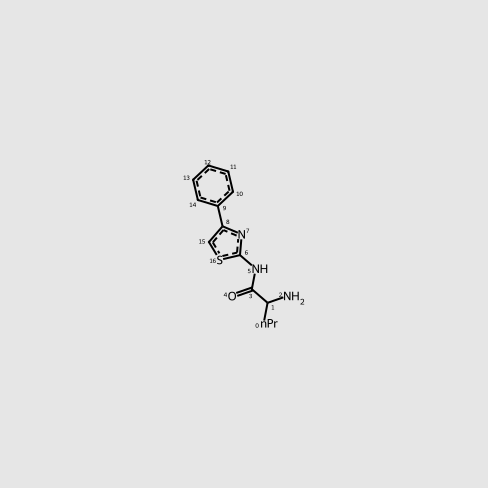 CCCC(N)C(=O)Nc1nc(-c2ccccc2)cs1